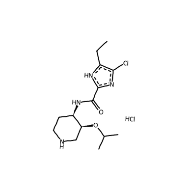 CCc1[nH]c(C(=O)N[C@@H]2CCNC[C@@H]2OC(C)C)nc1Cl.Cl